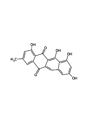 Cc1cc(O)c2c(c1)C(=O)c1cc3cc(O)cc(O)c3c(O)c1C2=O